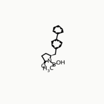 CB(O)N1C(=O)CC[C@H]1Cc1ccc(-c2ccccc2)cc1